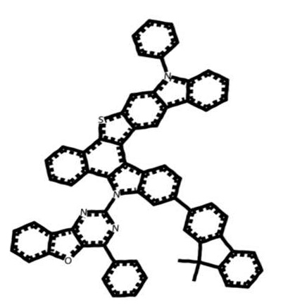 CC1(C)c2ccccc2-c2ccc(-c3ccc4c5c6c7cc8c9ccccc9n(-c9ccccc9)c8cc7sc6c6ccccc6c5n(-c5nc(-c6ccccc6)c6oc7ccccc7c6n5)c4c3)cc21